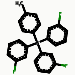 Cc1ccc([B-](c2cccc(F)c2)(c2cccc(F)c2)c2cccc(F)c2)cc1